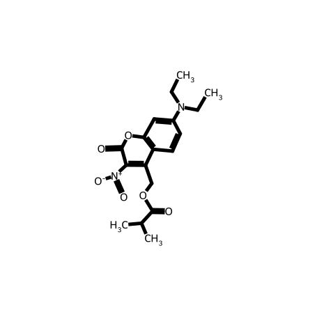 CCN(CC)c1ccc2c(COC(=O)C(C)C)c([N+](=O)[O-])c(=O)oc2c1